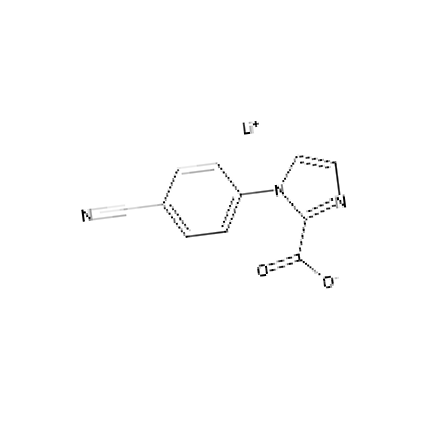 N#Cc1ccc(-n2ccnc2C(=O)[O-])cc1.[Li+]